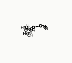 O=c1[nH]cnc(C[C@@H](CN[C@H]2CCS(O)(O)C2)c2ccc(C#Cc3ccc(CN4CCOCC4)cc3)cc2)c1O